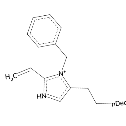 C=Cc1[nH]cc(CCCCCCCCCCCC)[n+]1Cc1ccccc1